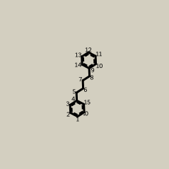 [c]1cccc(CCCCc2ccccc2)c1